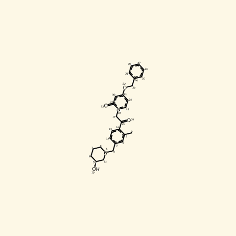 Cc1cc(CN2CCC[C@H](O)C2)ccc1C(=O)Cn1ccc(OCc2ccccc2)cc1=O